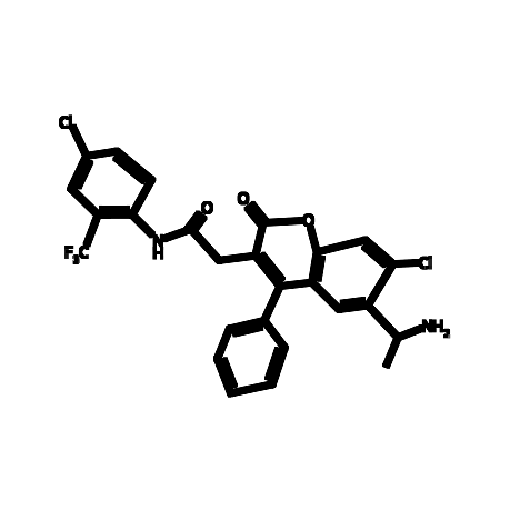 CC(N)c1cc2c(-c3ccccc3)c(CC(=O)Nc3ccc(Cl)cc3C(F)(F)F)c(=O)oc2cc1Cl